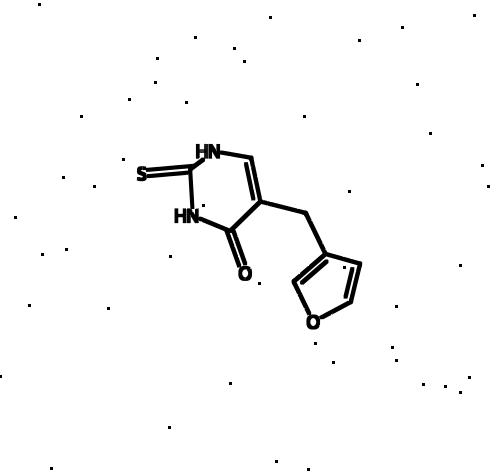 O=c1[nH]c(=S)[nH]cc1Cc1ccoc1